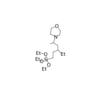 CCO[Si](CCC(CC)CC(C)N1CCOCC1)(OCC)OCC